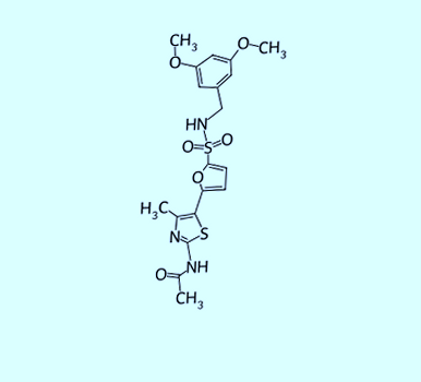 COc1cc(CNS(=O)(=O)c2ccc(-c3sc(NC(C)=O)nc3C)o2)cc(OC)c1